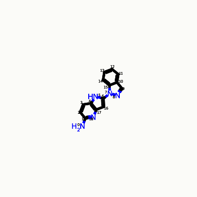 Nc1ccc2[nH]c(-n3ncc4ccccc43)cc2n1